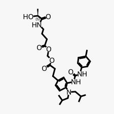 Cc1ccc(NC(=O)Nc2cc(CCC(=O)OCOC(=O)CCCNC(=O)[C@H](C)O)ccc2N(CC(C)C)CC(C)C)cc1